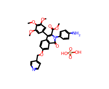 COC(=O)c1c(-c2cc(OC)c(OC)c(OC)c2)c2ccc(OCc3ccncc3)cc2c(=O)n1-c1ccc(N)cc1.O=S(=O)(O)O